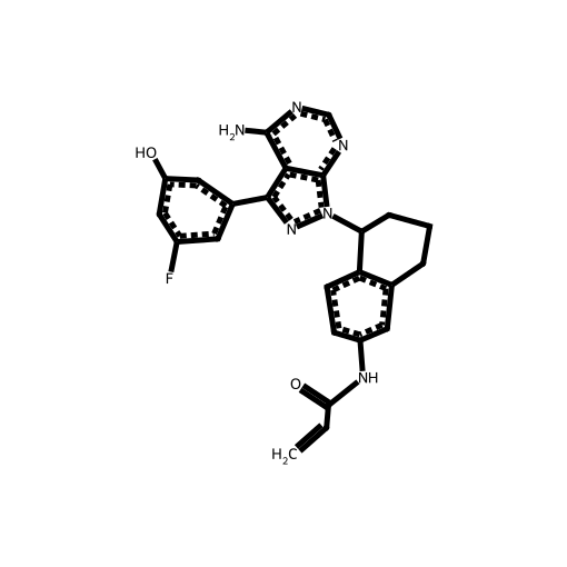 C=CC(=O)Nc1ccc2c(c1)CCCC2n1nc(-c2cc(O)cc(F)c2)c2c(N)ncnc21